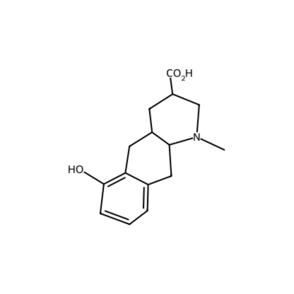 CN1CC(C(=O)O)CC2Cc3c(O)cccc3CC21